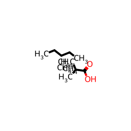 C.C.C.CC(C)C(=O)O.CCCCC